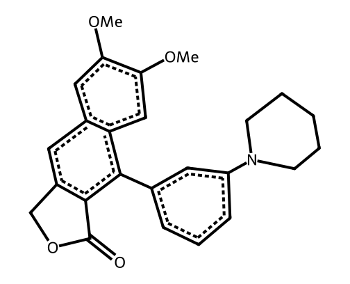 COc1cc2cc3c(c(-c4cccc(N5CCCCC5)c4)c2cc1OC)C(=O)OC3